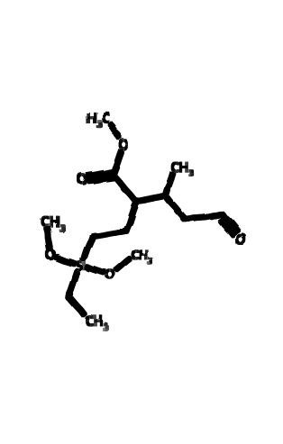 CC[Si](CCC(C(=O)OC)C(C)CC=O)(OC)OC